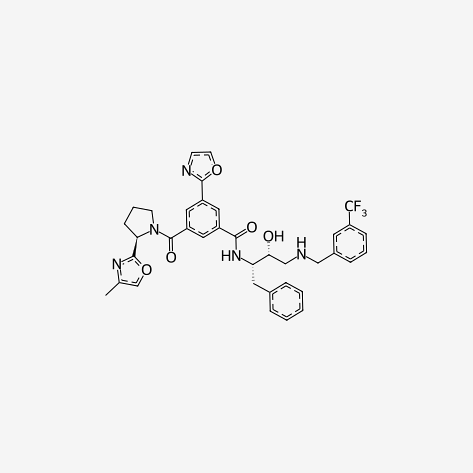 Cc1coc([C@H]2CCCN2C(=O)c2cc(C(=O)N[C@@H](Cc3ccccc3)[C@H](O)CNCc3cccc(C(F)(F)F)c3)cc(-c3ncco3)c2)n1